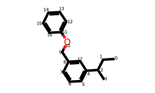 CCC(C)c1cccc(COc2ccccc2)c1